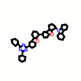 c1ccc(-c2nc(-c3ccccc3)nc(-c3ccc4oc5c(-c6ccc7oc8c(-n9c%10ccccc%10c%10ccccc%109)cccc8c7c6)cccc5c4c3)n2)cc1